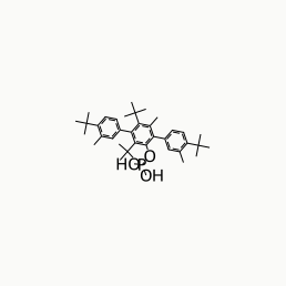 Cc1cc(-c2c(C)c(C(C)(C)C)c(-c3ccc(C(C)(C)C)c(C)c3)c(C(C)(C)C)c2OP(O)O)ccc1C(C)(C)C